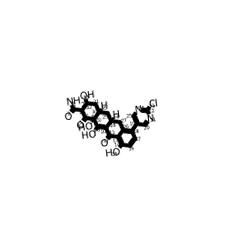 NC(=O)C1C(=O)[C@@]2(O)C(O)=C3C(=O)c4c(O)ccc(-c5cnc(Cl)nc5)c4C[C@H]3C[C@H]2CC1O